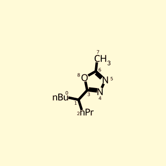 CCCCC(CCC)c1nnc(C)o1